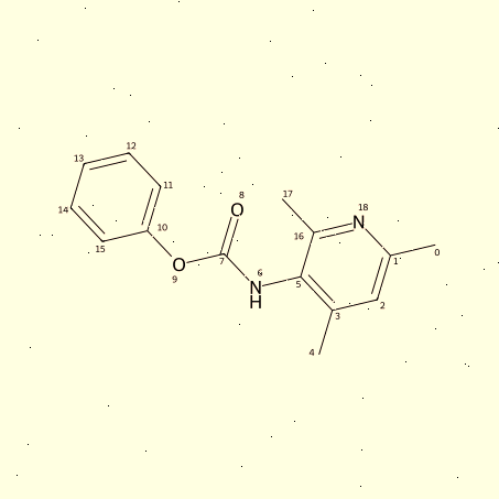 Cc1cc(C)c(NC(=O)Oc2ccccc2)c(C)n1